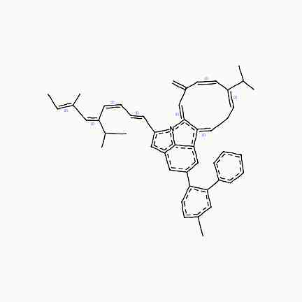 C=C1/C=C\C(C(C)C)=C/C/C=c2\c(n3c(/C=C/C=C\C(=C/C(C)=C/C)C(C)C)cc4cc(-c5ccc(C)cc5-c5ccccc5)cc2c43)=C/1